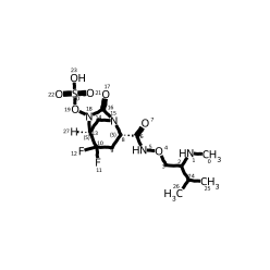 CNC(CONC(=O)[C@@H]1CC(F)(F)[C@@H]2CN1C(=O)N2OS(=O)(=O)O)C(C)C